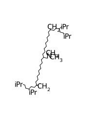 C=C(CCCCCCCCCC(CCCCCCCCCC(=C)CCC(CCC(C)C)C(C)C)CN(C)C)CCC(CCC(C)C)C(C)C